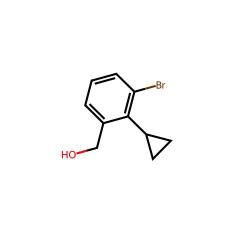 OCc1cccc(Br)c1C1CC1